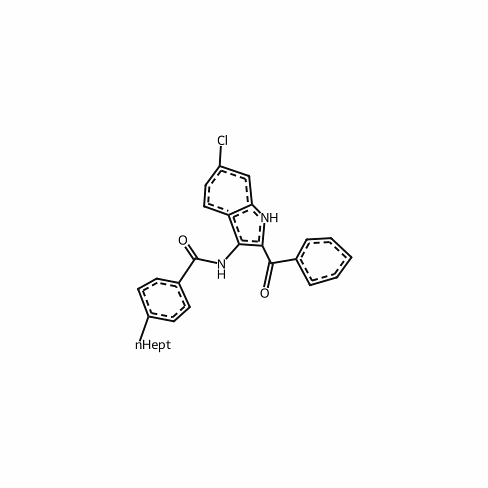 CCCCCCCc1ccc(C(=O)Nc2c(C(=O)c3ccccc3)[nH]c3cc(Cl)ccc23)cc1